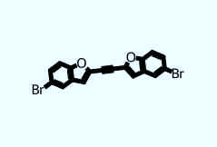 Brc1ccc2oc(C#Cc3cc4cc(Br)ccc4o3)cc2c1